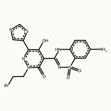 CC(C)CCn1nc(-c2cncs2)c(O)c(C2=NS(=O)(=O)c3cc(N)ccc3N2)c1=O